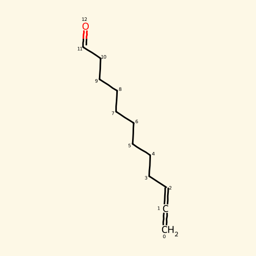 C=C=CCCCCCCCCC=O